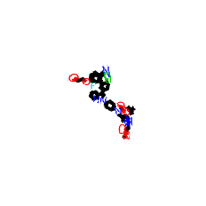 COCCOc1ccc(C#N)c(-c2cc(C(CNC3CCC(N(Cc4cnn(CC(=O)OC)c4)C(=O)OC(C)(C)C)CC3)c3ccccc3)ccc2Cl)c1F